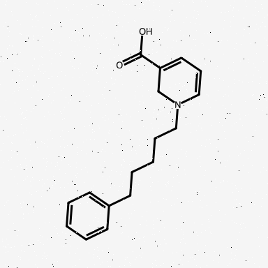 O=C(O)C1=CC=CN(CCCCCc2ccccc2)C1